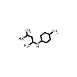 CC(C)CC(C)NC1CCC(N)CC1